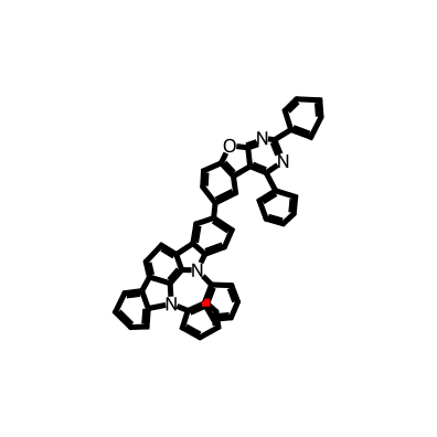 c1ccc(-c2nc(-c3ccccc3)c3c(n2)oc2ccc(-c4ccc5c(c4)c4ccc6c7ccccc7n(-c7ccccc7)c6c4n5-c4ccccc4)cc23)cc1